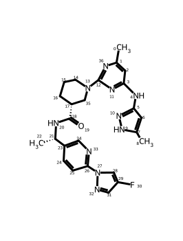 Cc1cc(Nc2cc(C)[nH]n2)nc(N2CCC[C@@H](C(=O)N[C@@H](C)c3ccc(-n4cc(F)cn4)nc3)C2)n1